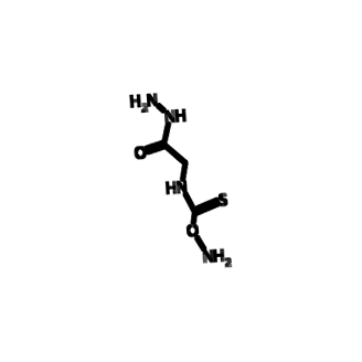 NNC(=O)CNC(=S)ON